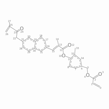 C=CC(=O)OCc1ccc(OC(=O)/C(C)=C/c2ccc3cc(CC(=O)C(=C)C)ccc3c2)c(C)c1